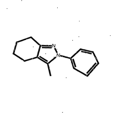 Cc1c2c(nn1-c1ccccc1)CCCC2